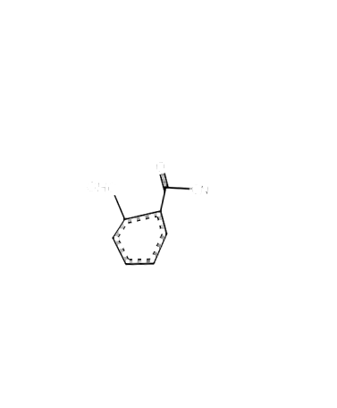 N#CC(=O)c1ccccc1C=O